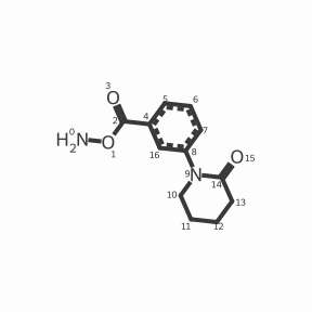 NOC(=O)c1cccc(N2CCCCC2=O)c1